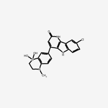 CN1CCS(O)(O)c2cc(-c3cc(=O)[nH]c4c3[nH]c3ccc(Cl)cc34)ccc21